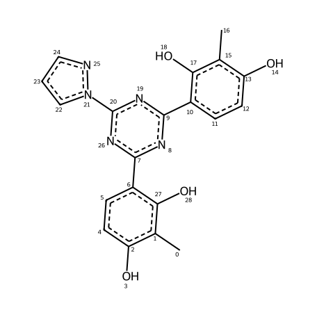 Cc1c(O)ccc(-c2nc(-c3ccc(O)c(C)c3O)nc(-n3cccn3)n2)c1O